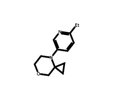 CCc1ccc(N2CCOCC23CC3)cn1